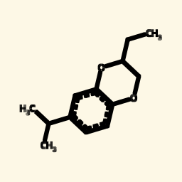 CCC1COc2ccc(C(C)C)cc2O1